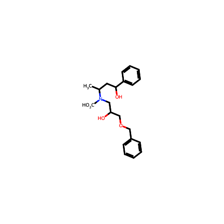 CC(CC(O)c1ccccc1)N(CC(O)COCc1ccccc1)C(=O)O